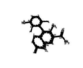 Cc1cnc2c(-c3c(C)ccc(O)c3C)c(N)c(C(N)=O)cc2n1